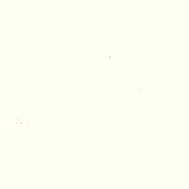 CCCCCCCCCCOC(=O)C(F)=C(F)C(=O)OC(C)C